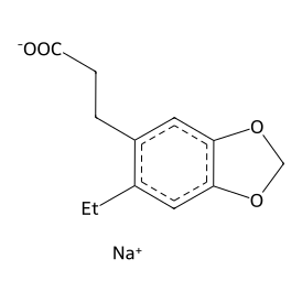 CCc1cc2c(cc1CCC(=O)[O-])OCO2.[Na+]